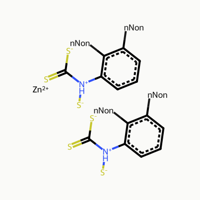 CCCCCCCCCc1cccc([NH+]([S-])C(=S)[S-])c1CCCCCCCCC.CCCCCCCCCc1cccc([NH+]([S-])C(=S)[S-])c1CCCCCCCCC.[Zn+2]